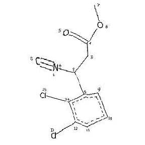 [C-]#[N+]C(CC(=O)OC)c1cccc(Cl)c1Cl